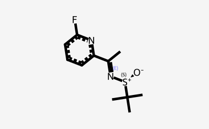 C/C(=N\[S@+]([O-])C(C)(C)C)c1cccc(F)n1